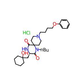 CCCCN1C(=O)[C@@H](CC2(O)CCCCC2)NC(=O)C12CCN(CCCCOc1ccccc1)CC2.Cl